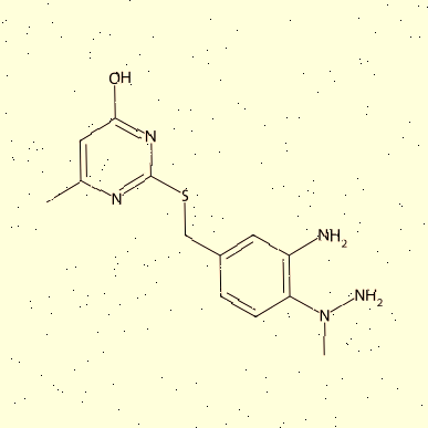 Cc1cc(O)nc(SCc2ccc(N(C)N)c(N)c2)n1